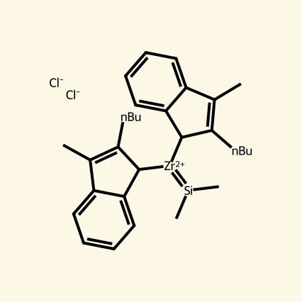 CCCCC1=C(C)c2ccccc2[CH]1[Zr+2]([CH]1C(CCCC)=C(C)c2ccccc21)=[Si](C)C.[Cl-].[Cl-]